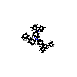 c1ccc(-c2cccc(N(c3ccc(-c4cc(-c5ccccc5)cc5ccccc45)cc3)c3ccc(-n4c5ccccc5c5ccccc54)cc3)c2)cc1